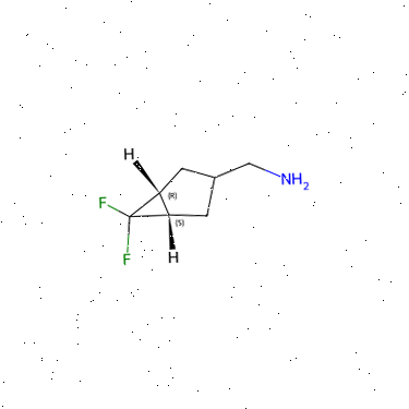 NCC1C[C@@H]2[C@H](C1)C2(F)F